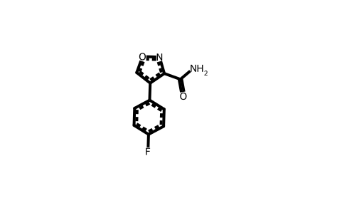 NC(=O)c1nocc1-c1ccc(F)cc1